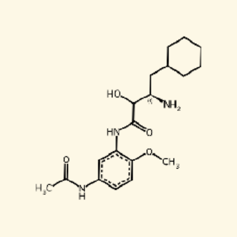 COc1ccc(NC(C)=O)cc1NC(=O)C(O)[C@H](N)CC1CCCCC1